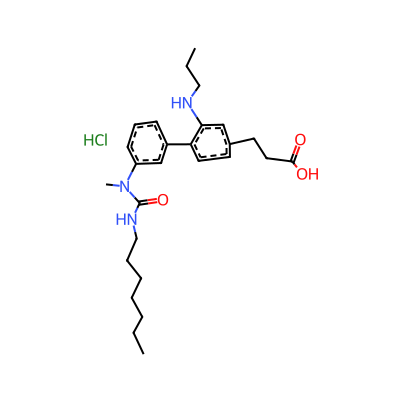 CCCCCCCNC(=O)N(C)c1cccc(-c2ccc(CCC(=O)O)cc2NCCC)c1.Cl